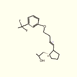 CC(O)C[C@H]1CCCC1/C=C/CCOc1cccc(C(C)(F)F)c1